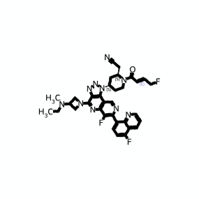 CCN(C)C1CN(c2nc3c(F)c(-c4ccc(F)c5cccnc45)ncc3c3c2nnn3[C@H]2CCN(C(=O)/C=C/CF)[C@H](CC#N)C2)C1